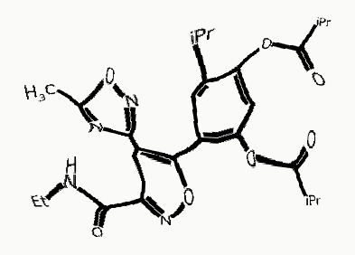 CCNC(=O)c1noc(-c2cc(C(C)C)c(OC(=O)C(C)C)cc2OC(=O)C(C)C)c1-c1noc(C)n1